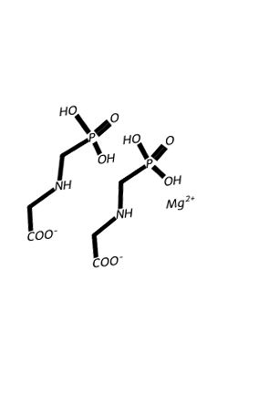 O=C([O-])CNCP(=O)(O)O.O=C([O-])CNCP(=O)(O)O.[Mg+2]